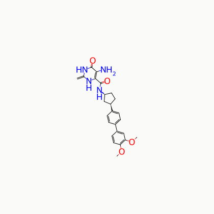 C=C1NC(=O)C(N)=C(C(=O)N[C@H]2CC[C@@H](c3ccc(-c4ccc(OC)c(OC)c4)cc3)C2)N1